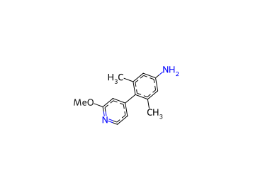 COc1cc(-c2c(C)cc(N)cc2C)ccn1